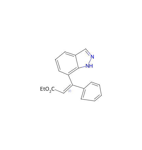 CCOC(=O)/C=C(/c1ccccc1)c1cccc2cn[nH]c12